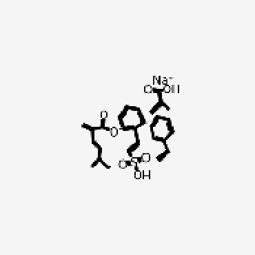 C=C(C)C(=O)O.C=C(CCC(C)C)C(=O)[O-].C=Cc1ccccc1.O=S(=O)(O)C=Cc1ccccc1.[Na+]